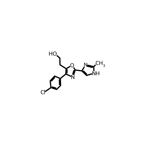 Cc1nc(-c2nc(-c3ccc(Cl)cc3)c(CCO)o2)c[nH]1